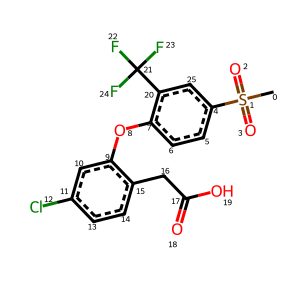 CS(=O)(=O)c1ccc(Oc2cc(Cl)ccc2CC(=O)O)c(C(F)(F)F)c1